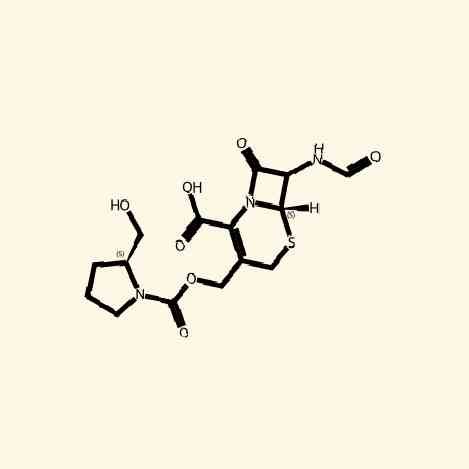 O=CNC1C(=O)N2C(C(=O)O)=C(COC(=O)N3CCC[C@H]3CO)CS[C@@H]12